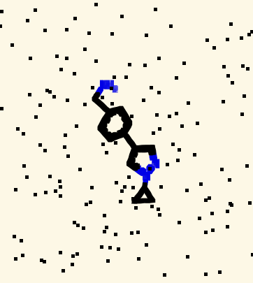 NCc1ccc(-c2cnn(C3CC3)c2)cc1